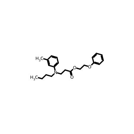 CCCCN(CCC(=O)OCCOc1ccccc1)c1cccc(C)c1